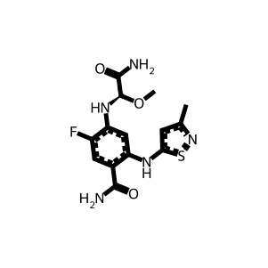 CO[C@@H](Nc1cc(Nc2cc(C)ns2)c(C(N)=O)cc1F)C(N)=O